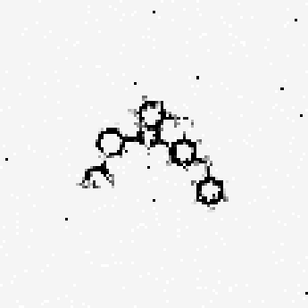 C=CC(=O)N1CCCC(c2nc(-c3ccc(Oc4ccccc4)cc3)c3c(N)ncnn23)C1